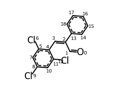 O=CC(=Cc1c(Cl)cc(Cl)cc1Cl)c1ccccc1